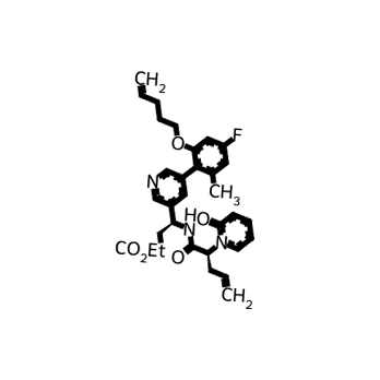 C=CCCCOc1cc(F)cc(C)c1-c1cncc([C@H](CC(=O)OCC)NC(=O)[C@H](CC=C)n2ccccc2=O)c1